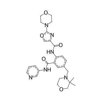 CC1(C)COCCN1Cc1ccc(NC(=O)c2coc(N3CCOCC3)n2)c(C(=O)Nc2cccnc2)c1